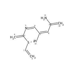 C=CSC(=C)/N=C\C(=C/C(=C)N)C(C)C